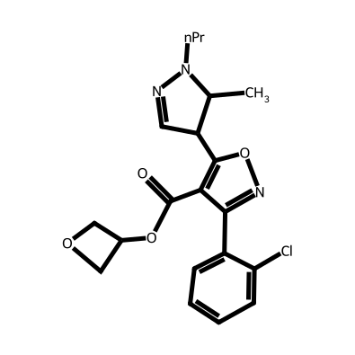 CCCN1N=CC(c2onc(-c3ccccc3Cl)c2C(=O)OC2COC2)C1C